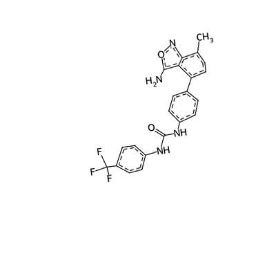 Cc1ccc(-c2ccc(NC(=O)Nc3ccc(C(F)(F)F)cc3)cc2)c2c(N)onc12